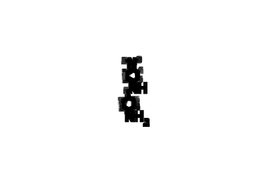 CN(C)c1ccc(NCC2CCC(N)CC2)cc1